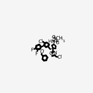 CS(=O)(=O)N[C@H]1CC[C@](Cc2ccc(Cl)c(-c3ccc(F)c(F)c3OCc3ccccc3)c2)(c2nc(CCl)co2)C1